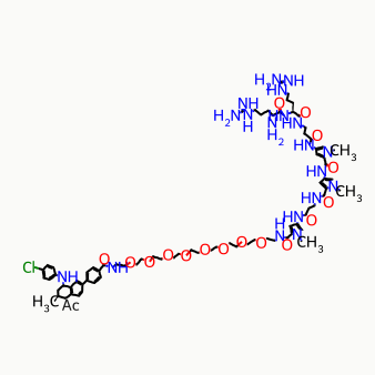 CC(=O)C1c2ccc(-c3ccc(C(=O)NCCOCCOCCOCCOCCOCCOCCOCCOCCNC(=O)c4cc(NC(=O)CCNC(=O)c5cc(NC(=O)c6cc(NC(=O)CCNC(=O)[C@H](CCCNC(=N)N)NC(=O)[C@@H](N)CCCNC(=N)N)cn6C)cn5C)cn4C)cc3)cc2[C@H](Nc2ccc(Cl)cc2)C[C@@H]1C